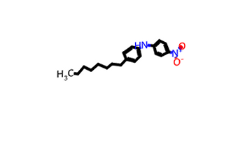 CCCCCCCCc1ccc(Nc2ccc([N+](=O)[O-])cc2)cc1